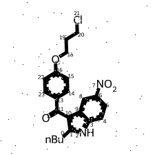 CCCCc1[nH]c2ccc([N+](=O)[O-])cc2c1C(=O)c1ccc(OCCCCl)cc1